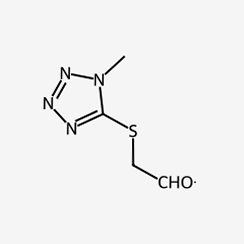 Cn1nnnc1SC[C]=O